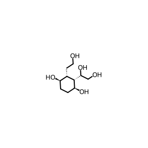 OCC[C@@H]1[C@H](C(O)CO)[C@@H](O)CC[C@H]1O